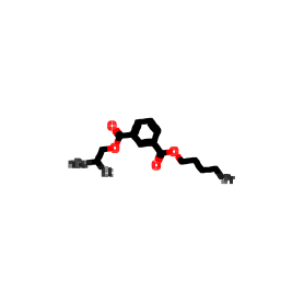 CCCCC(CC)COC(=O)c1cccc(C(=O)OCCCCC(C)C)c1